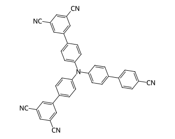 N#Cc1ccc(-c2ccc(N(c3ccc(-c4cc(C#N)cc(C#N)c4)cc3)c3ccc(-c4cc(C#N)cc(C#N)c4)cc3)cc2)cc1